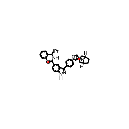 CC(C)C(NC(=O)c1ccc2[nH]nc(-c3ccc(O[C@@H]4C[C@H]5CC[C@@H](C4)N5C4COC4)cc3)c2c1)c1ccccc1Cl